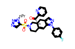 CCCn1nncc1S(=O)(=O)N1CCC2=Cc3c(cnn3-c3ccc(F)cc3)C[C@]2(C(=O)c2ccccn2)C1